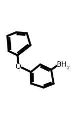 Bc1cccc(Oc2ccccc2)c1